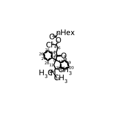 CCCCCCC(=O)OC(Cl)CCC(=O)C(CC(C)N(C)C)(c1ccccc1)c1ccccc1